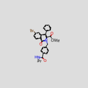 COC(=O)c1c(-c2ccccc2)c2cc(Br)ccc2c(=O)n1Cc1ccc(C(=O)NC(C)C)cc1